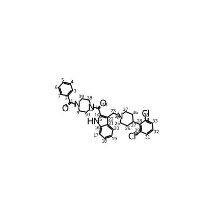 O=C(c1ccccc1)N1CCN(C(=O)c2[nH]c3ccccc3c2CN2CCC(c3c(Cl)cccc3Cl)CC2)CC1